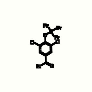 CCC(=O)c1cc(Cl)c(O[Si](C(C)C)(C(C)C)C(C)C)c(Cl)c1